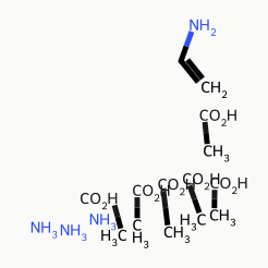 C=CN.CC(=O)O.CC(=O)O.CC(=O)O.CC(=O)O.CC(=O)O.CC(=O)O.N.N.N